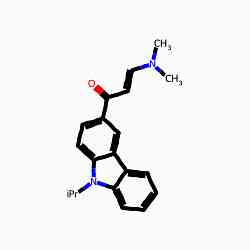 CC(C)n1c2ccccc2c2cc(C(=O)C=CN(C)C)ccc21